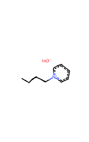 CCCC[n+]1ccccc1.[OH-]